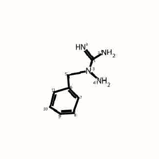 N=C(N)N(N)Cc1ccccc1